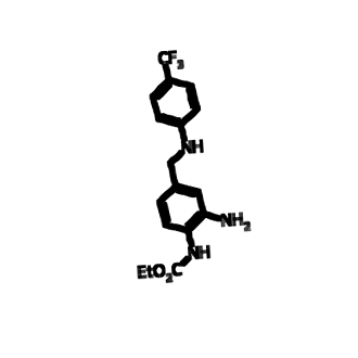 CCOC(=O)Nc1ccc(CNc2ccc(C(F)(F)F)cc2)cc1N